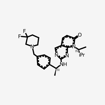 CC(C)[C@H](C)n1c(=O)ccc2cnc(N[C@@H](C)c3ccc(CN4CCCC(F)(F)C4)cc3)nc21